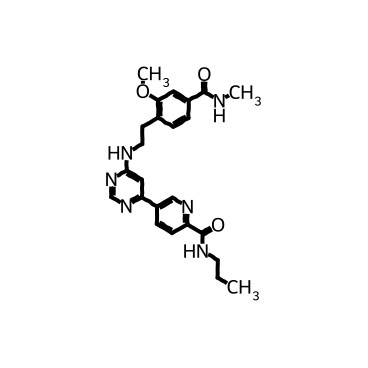 CCCNC(=O)c1ccc(-c2cc(NCCc3ccc(C(=O)NC)cc3OC)ncn2)cn1